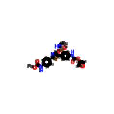 CC(C)OC(=O)N[C@H]1CC[C@H](c2ncc(-c3ccc(NC(=O)OC4COC4)cc3S(=O)(=O)NC(C)(C)C)s2)CC1